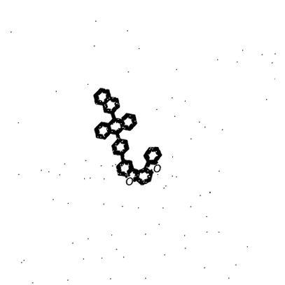 c1ccc2cc(-c3c4ccccc4c(-c4ccc(-c5ccc6oc7ccc8oc9ccccc9c8c7c6c5)cc4)c4ccccc34)ccc2c1